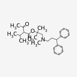 CC(=O)C(C(=O)OC(C)(C)CN(C)CCC(c1ccccc1)c1ccccc1)C(C)C